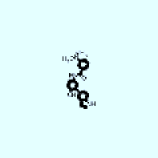 Cc1ccc(NC(=O)c2cccc(N(C)C)c2)cc1-c1ccc2[nH]ccc2c1